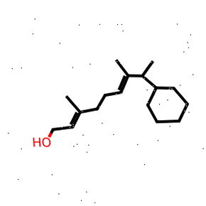 CC(=CCC/C(C)=C/CO)C(C)C1CCCCC1